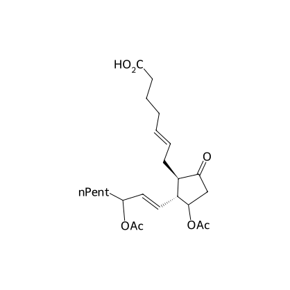 CCCCCC(C=C[C@H]1C(OC(C)=O)CC(=O)[C@@H]1CC=CCCCC(=O)O)OC(C)=O